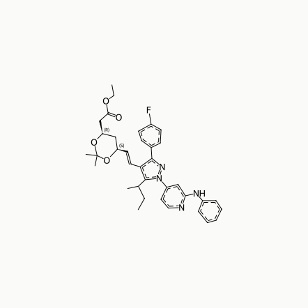 CCOC(=O)C[C@H]1C[C@@H](C=Cc2c(-c3ccc(F)cc3)nn(-c3ccnc(Nc4ccccc4)c3)c2C(C)CC)OC(C)(C)O1